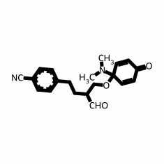 CN(C)C1(OCC(C=O)CCc2ccc(C#N)cc2)C=CC(=O)C=C1